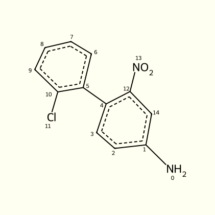 Nc1ccc(-c2ccccc2Cl)c([N+](=O)[O-])c1